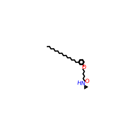 CCCCCCCCCCCCCCCc1cccc(OCCCCCC(=O)NC2CC2)c1